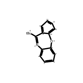 CC(C)(C)C1=Nc2ccccc2Oc2ccccc21